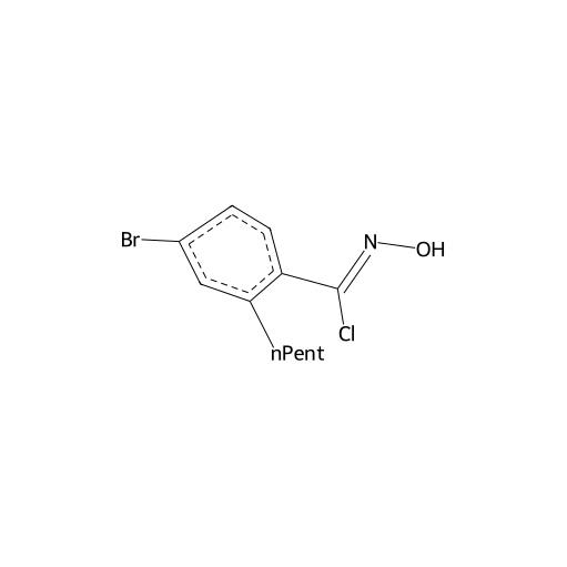 CCCCCc1cc(Br)ccc1C(Cl)=NO